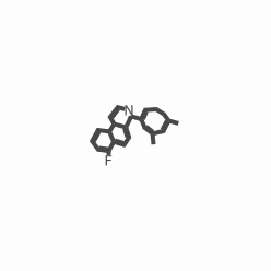 CC1=C/C(C2=NC=CC3C2=CC=C2C(F)=CC=CC23)=C\CC/C(C)=C\1